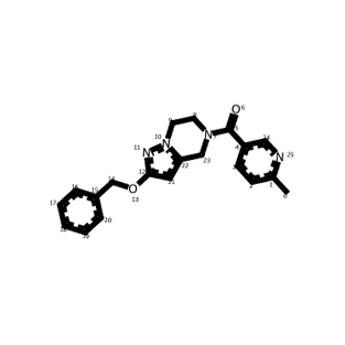 Cc1ccc(C(=O)N2CCn3nc(OCc4ccccc4)cc3C2)cn1